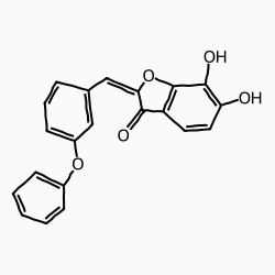 O=C1/C(=C\c2cccc(Oc3ccccc3)c2)Oc2c1ccc(O)c2O